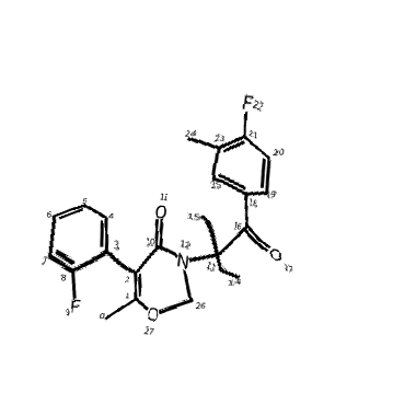 CC1=C(c2ccccc2F)C(=O)N(C(C)(C)C(=O)c2ccc(F)c(C)c2)CO1